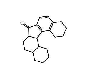 O=C1c2ccc3c(c2C2C1CCC1CCCCC12)CCCC3